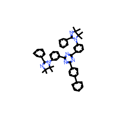 CC1(C)N=C(c2ccccc2)N(c2cccc(-c3nc(-c4ccc(-c5ccccc5)cc4)nc(-c4cccc(N5C(c6ccccc6)=NC(C)(C)C5(C)C)c4)n3)c2)C1(C)C